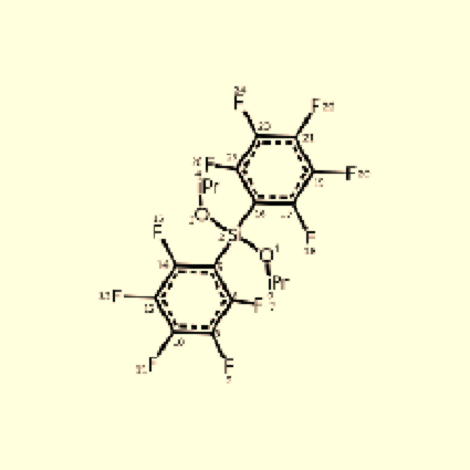 CC(C)O[Si](OC(C)C)(c1c(F)c(F)c(F)c(F)c1F)c1c(F)c(F)c(F)c(F)c1F